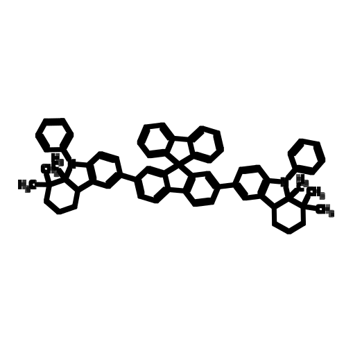 CC1(C)CCCC2c3cc(-c4ccc5c(c4)C4(c6ccccc6-c6ccccc64)c4cc(-c6ccc7c(c6)C6CCCC(C)(C)C6(C)N7c6ccccc6)ccc4-5)ccc3N(c3ccccc3)C21C